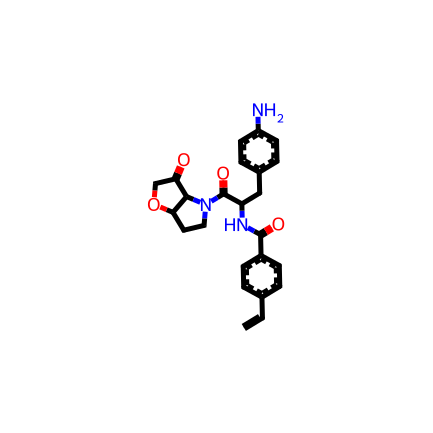 C=Cc1ccc(C(=O)NC(Cc2ccc(N)cc2)C(=O)N2CCC3OCC(=O)C32)cc1